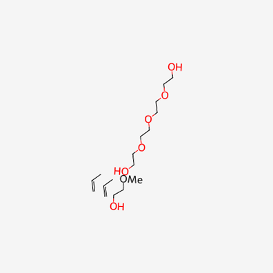 C=CC.C=CC.COCCO.OCCOCCOCCOCCO